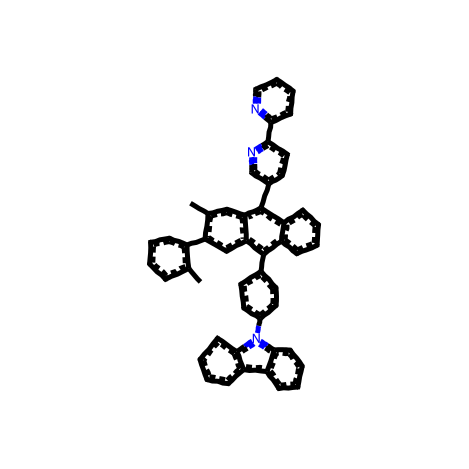 Cc1ccccc1-c1cc2c(-c3ccc(-n4c5ccccc5c5ccccc54)cc3)c3ccccc3c(-c3ccc(-c4ccccn4)nc3)c2cc1C